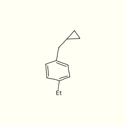 CCc1ccc(CC2CC2)cc1